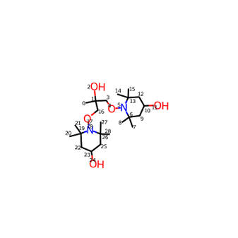 CC(O)(CON1C(C)(C)CC(O)CC1(C)C)CON1C(C)(C)CC(O)CC1(C)C